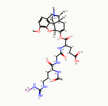 COc1ccc2c3c1O[C@H]1C(OC(=O)C(CCC(=O)O)NC(=O)CNC(=O)[C@H](CCCNC(=N)NP)NC(C)=O)=CC[C@H]4[C@@H](C2)N(C)CC[C@]314